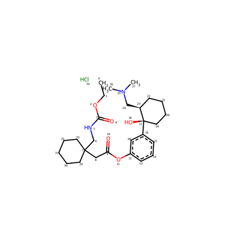 CCOC(=O)NCC1(CC(=O)Oc2cccc([C@@]3(O)CCCC[C@@H]3CN(C)C)c2)CCCCC1.Cl